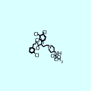 CN(Cc1cccc(Cl)c1)C(=O)C(CCN1CCC(NS(C)(=O)=O)CC1)c1ccc(Cl)c(Cl)c1